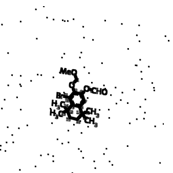 COCOc1c(OC=O)cc2c(c1Br)C(C)(C)CCC2(C)C